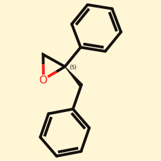 c1ccc(C[C@]2(c3ccccc3)CO2)cc1